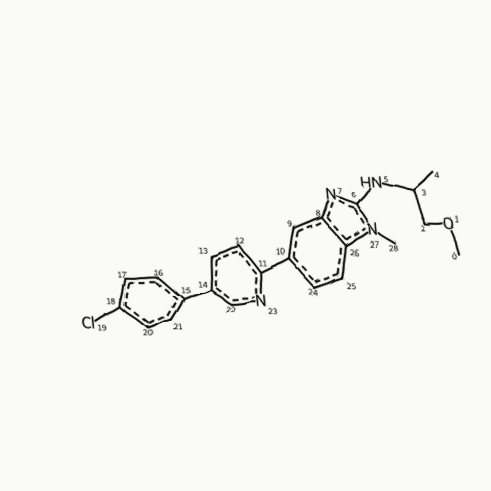 COCC(C)Nc1nc2cc(-c3ccc(-c4ccc(Cl)cc4)cn3)ccc2n1C